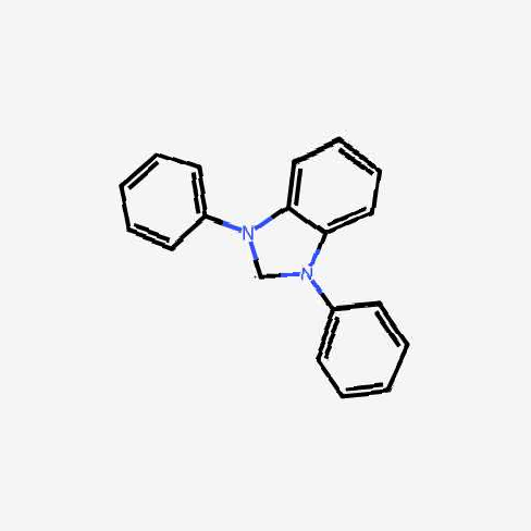 [CH]1N(c2ccccc2)c2ccccc2N1c1ccccc1